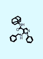 O=C(NC12CC3CC(CC(C3)C1)C2)c1cnn(-c2ccccc2)c1NCc1ccccc1